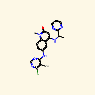 CC(Nc1cc(=O)n(C)c2ccc(Nc3ncnc(Cl)c3C#N)cc12)c1ncccn1